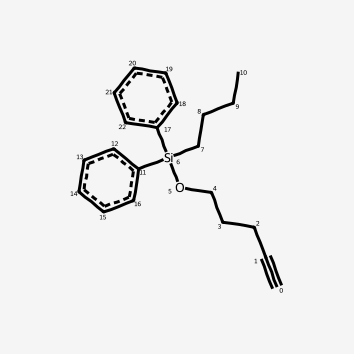 C#CCCCO[Si](CCCC)(c1ccccc1)c1ccccc1